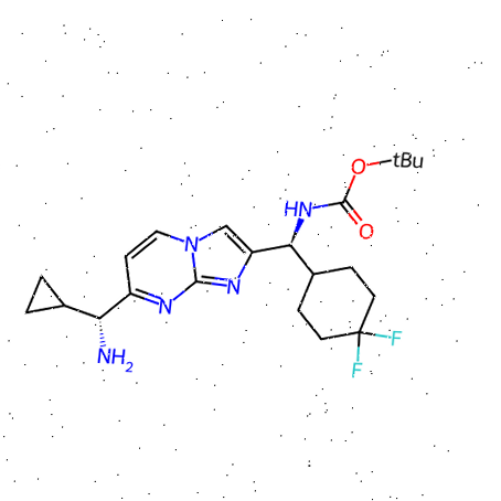 CC(C)(C)OC(=O)N[C@H](c1cn2ccc([C@H](N)C3CC3)nc2n1)C1CCC(F)(F)CC1